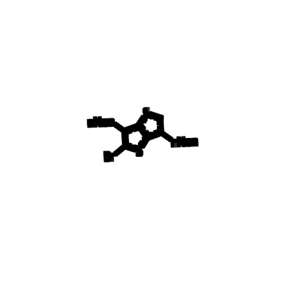 CCCCCCCCCc1csc2c(CCCCCCCCC)c(Br)sc12